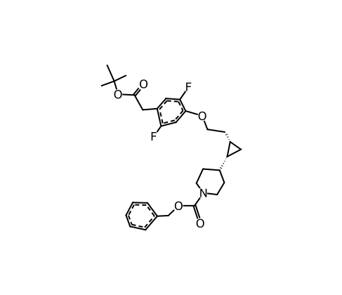 CC(C)(C)OC(=O)Cc1cc(F)c(OCC[C@@H]2C[C@@H]2C2CCN(C(=O)OCc3ccccc3)CC2)cc1F